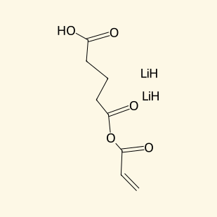 C=CC(=O)OC(=O)CCCC(=O)O.[LiH].[LiH]